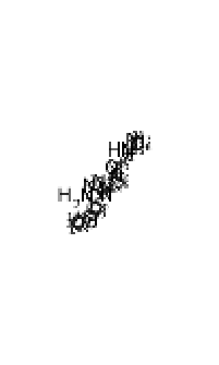 Nc1ncnc2c1c(-c1ccc(Oc3ccccc3)cc1)nn2C1CCCN(C(=O)C=CCNc2ccccn2)C1